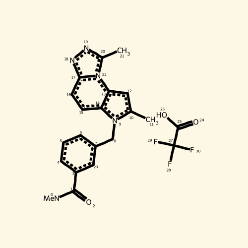 CNC(=O)c1cccc(Cn2c(C)cc3c2ccc2nnc(C)n23)c1.O=C(O)C(F)(F)F